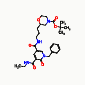 CCNC(=O)c1cc(C(=O)NCCCC2CN(C(=O)OC(C)(C)C)CCO2)cn(Cc2ccccc2)c1=O